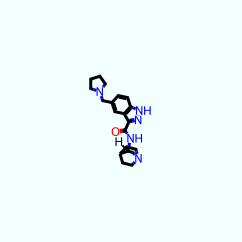 O=C(N[C@@H]1CN2CCC1CC2)c1n[nH]c2ccc(CN3CCCC3)cc12